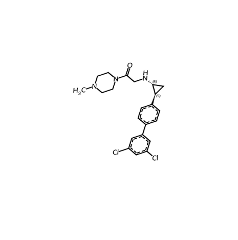 CN1CCN(C(=O)CN[C@@H]2C[C@H]2c2ccc(-c3cc(Cl)cc(Cl)c3)cc2)CC1